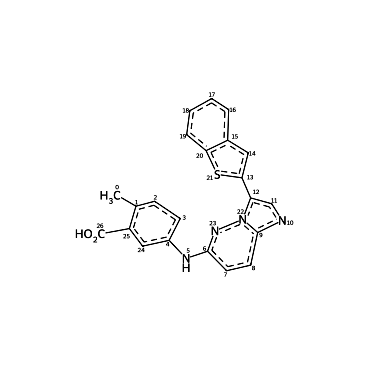 Cc1ccc(Nc2ccc3ncc(-c4cc5ccccc5s4)n3n2)cc1C(=O)O